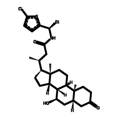 CC[C@@H](NC(=O)C[C@@H](C)[C@H]1CC[C@H]2[C@@H]3[C@H](O)C[C@@H]4CC(=O)CC[C@]4(C)[C@H]3CC[C@]12C)c1ccc(Cl)s1